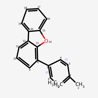 C=C(C)/C=C\C(=C/C)c1cccc2c1oc1ccccc12